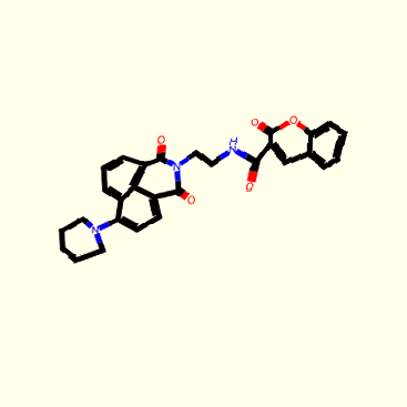 O=C(NCCN1C(=O)c2cccc3c(N4CCCCC4)ccc(c23)C1=O)c1cc2ccccc2oc1=O